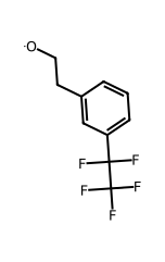 [O]CCc1cccc(C(F)(F)C(F)(F)F)c1